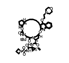 C=C[C@@H]1C[C@]1(NC(=O)[C@@H]1C[C@@H]2CN1C(=O)[C@H](C(C)(C)C)NC(=O)O[C@@H]1CCC[C@H]1CCCCCc1c(nc3ccccc3c1OCCN1CCOCC1)O2)C(=O)NS(=O)(=O)N1CCC1